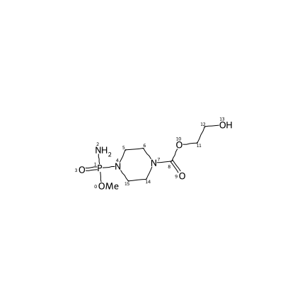 COP(N)(=O)N1CCN(C(=O)OCCO)CC1